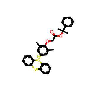 Cc1cc([SH]2c3ccccc3Sc3ccccc32)cc(C)c1OCC(=O)OC(C)(C)c1ccccc1